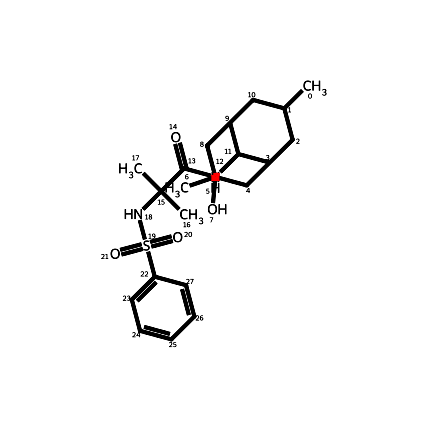 CC1CC2CC(C)(O)CC(C1)C2NC(=O)C(C)(C)NS(=O)(=O)c1ccccc1